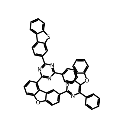 c1ccc(-c2nc(-c3ccc4c(c3)sc3ccccc34)nc(-c3cccc4oc5ccc(-c6nc(-c7ccccc7)c7oc8ccccc8c7n6)cc5c34)n2)cc1